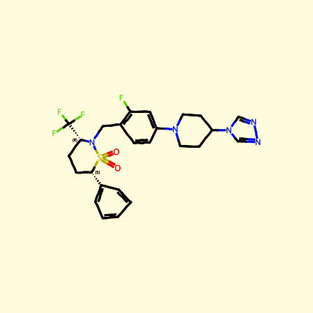 O=S1(=O)[C@H](c2ccccc2)CC[C@H](C(F)(F)F)N1Cc1ccc(N2CCC(n3cnnc3)CC2)cc1F